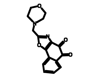 O=C1C(=O)c2nc(CN3CCOCC3)oc2-c2ccccc21